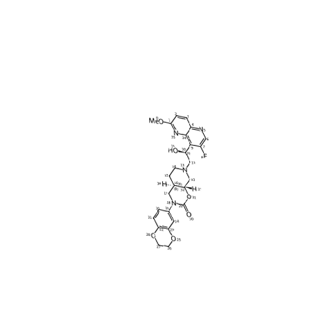 COc1ccc2ncc(F)c([C@H](O)CN3CC[C@@H]4CN(c5ccc6c(c5)OCCO6)C(=O)O[C@H]4C3)c2n1